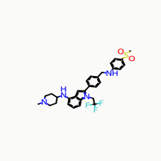 CN1CCC(Nc2cccc3c2cc(-c2ccc(CNc4ccc(S(C)(=O)=O)cc4)cc2)n3CC(F)(F)F)CC1